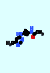 CC(=O)N[C@H]1C[C@H](Nc2cc(C)ncn2)C1